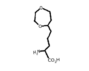 NC(CCCC1CCOCCO1)C(=O)O